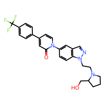 O=c1cc(-c2ccc(C(F)(F)F)cc2)ccn1-c1ccc2c(cnn2CCN2CCCC2CO)c1